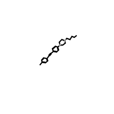 CCCCCN1CCN(c2ccc(C#Cc3ccc(C)cc3)cc2)CC1